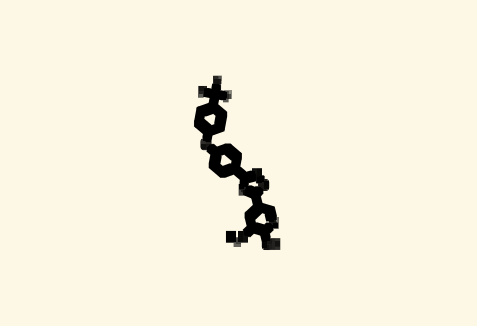 Nc1cc(-c2nc(-c3ccc(Oc4ccc(C(F)(F)F)cc4)cc3)no2)cnc1O